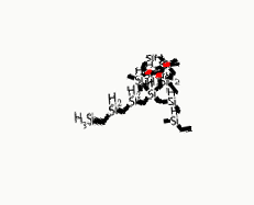 CC[SiH](C)C[SiH](C[SiH2]C[Si](C)(C)C)C[Si](C[SiH2]C[SiH2]C[SiH3])(C[SiH2]C[SiH](C)C)C[SiH](C[SiH3])C[SiH2]C